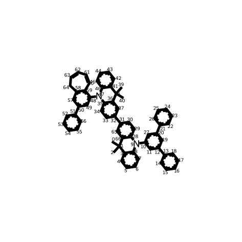 CC1(C)c2ccccc2N(c2cc(-c3ccccc3)cc(-c3ccccc3)c2)c2ccc(-c3ccc4c(c3)C(C)(C)c3ccccc3N4c3cc(-c4ccccc4)cc4c3C=CC=CC4)cc21